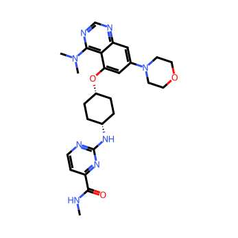 CNC(=O)c1ccnc(N[C@H]2CC[C@@H](Oc3cc(N4CCOCC4)cc4ncnc(N(C)C)c34)CC2)n1